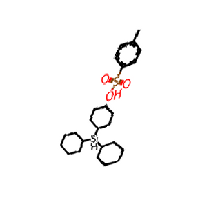 C1CCC([SiH](C2CCCCC2)C2CCCCC2)CC1.Cc1ccc(S(=O)(=O)O)cc1